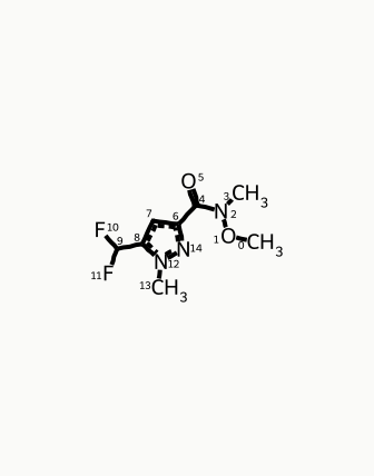 CON(C)C(=O)c1cc(C(F)F)n(C)n1